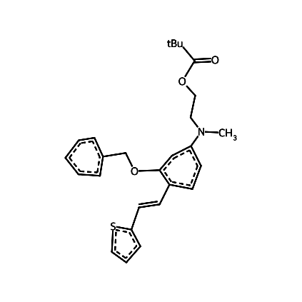 CN(CCOC(=O)C(C)(C)C)c1ccc(C=Cc2cccs2)c(OCc2ccccc2)c1